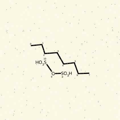 CCCCCCCC.O=S(=O)(O)OS(=O)(=O)O